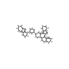 c1cc(-c2ccc3c4ccc5cccnc5c4c4nc5ccccc5n4c3c2)cc(-c2cccc3c2oc2ccccc23)c1